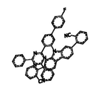 N#Cc1ccccc1-c1ccc2c3ccc(-c4ccccc4C#N)cc3n(-c3cc(-c4ccc(F)cc4)ccc3-c3nc(-c4ccccc4)nc(-c4ccccc4)n3)c2c1